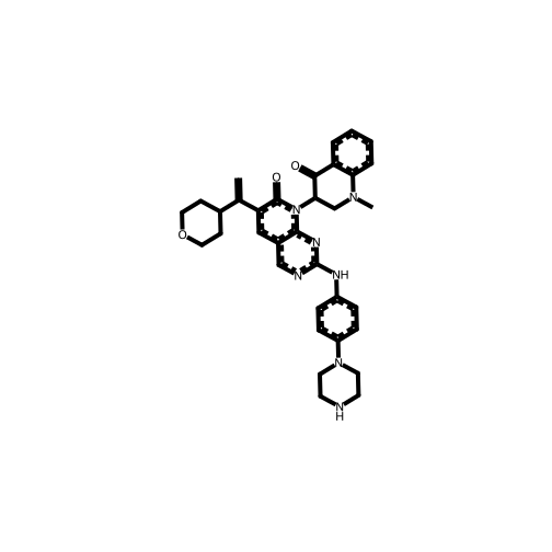 C=C(c1cc2cnc(Nc3ccc(N4CCNCC4)cc3)nc2n(C2CN(C)c3ccccc3C2=O)c1=O)C1CCOCC1